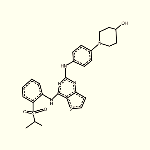 CC(C)S(=O)(=O)c1ccccc1Nc1nc(Nc2ccc(N3CCC(O)CC3)cc2)nc2ccsc12